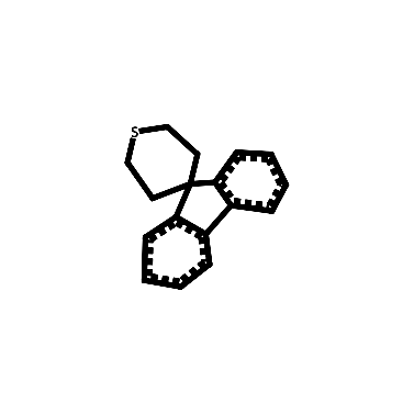 c1ccc2c(c1)-c1ccccc1C21CCSCC1